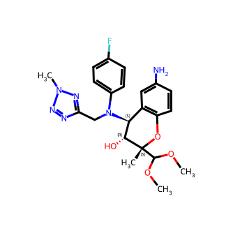 COC(OC)[C@@]1(C)Oc2ccc(N)cc2[C@H](N(Cc2nnn(C)n2)c2ccc(F)cc2)[C@H]1O